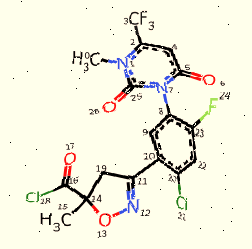 Cn1c(C(F)(F)F)cc(=O)n(-c2cc(C3=NOC(C)(C(=O)Cl)C3)c(Cl)cc2F)c1=O